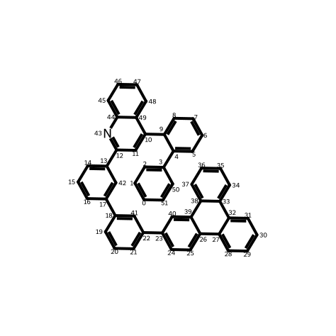 c1ccc(-c2ccccc2-c2cc(-c3cccc(-c4cccc(-c5ccc6c7ccccc7c7ccccc7c6c5)c4)c3)nc3ccccc23)cc1